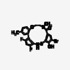 Cc1ccc2c(c1)-c1cc(c(F)cc1F)NSc1cc(cc(Br)c1O)C(=O)N(C)CCO2